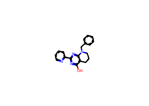 Oc1nc(-c2ccccn2)nc2c1CCCN2Cc1ccccc1